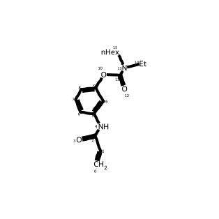 C=CC(=O)Nc1cccc(OC(=O)N(CC)CCCCCC)c1